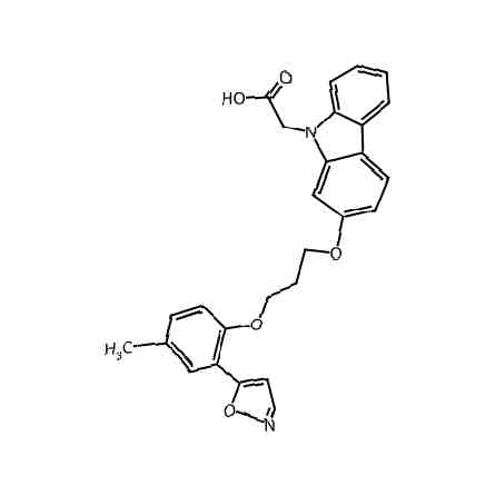 Cc1ccc(OCCCOc2ccc3c4ccccc4n(CC(=O)O)c3c2)c(-c2ccno2)c1